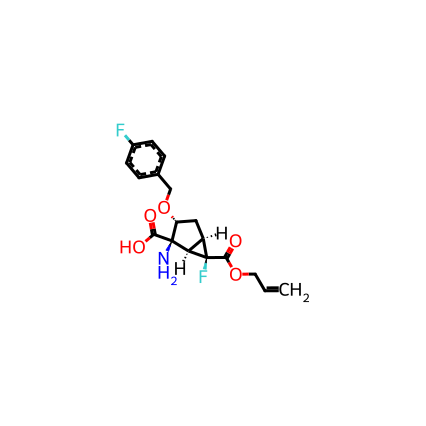 C=CCOC(=O)[C@@]1(F)[C@@H]2C[C@@H](OCc3ccc(F)cc3)[C@@](N)(C(=O)O)[C@@H]21